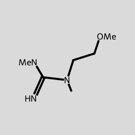 CNC(=N)N(C)CCOC